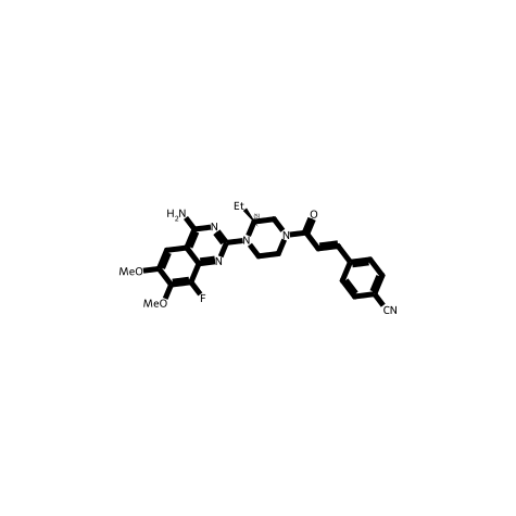 CC[C@H]1CN(C(=O)C=Cc2ccc(C#N)cc2)CCN1c1nc(N)c2cc(OC)c(OC)c(F)c2n1